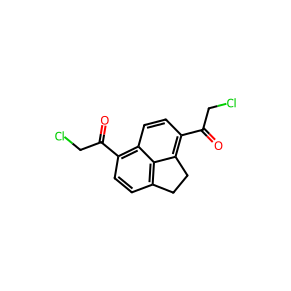 O=C(CCl)c1ccc2c(C(=O)CCl)ccc3c2c1CC3